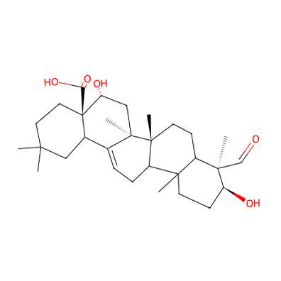 CC1(C)CC[C@@]2(C(=O)O)C(C1)C1=CCC3C4(C)CC[C@H](O)[C@](C)(C=O)C4CC[C@@]3(C)[C@]1(C)C[C@H]2O